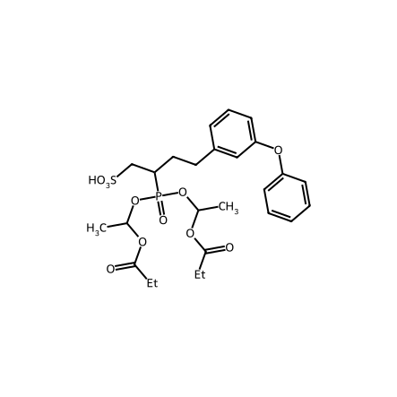 CCC(=O)OC(C)OP(=O)(OC(C)OC(=O)CC)C(CCc1cccc(Oc2ccccc2)c1)CS(=O)(=O)O